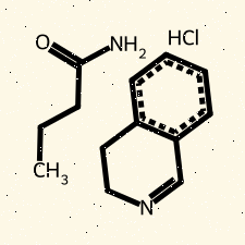 C1=NCCc2ccccc21.CCCC(N)=O.Cl